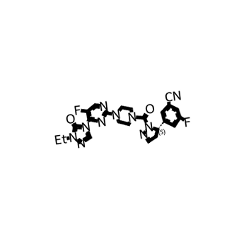 CCn1ncn(-c2nc(N3CCN(C(=O)N4N=CC[C@H]4c4cc(F)cc(C#N)c4)CC3)ncc2F)c1=O